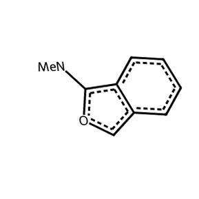 CNc1occ2ccccc12